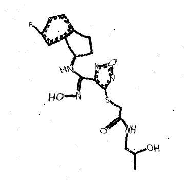 CC(O)CNC(=O)CSc1nonc1/C(=N/O)NC1CCc2ccc(F)cc21